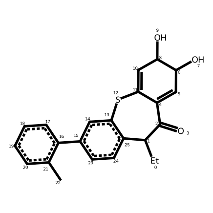 CCC1C(=O)C2=CC(O)C(O)C=C2Sc2cc(-c3ccccc3C)ccc21